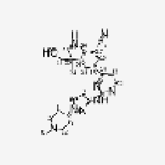 CN1CCC(n2ccc(Nc3nccc(-c4cc(C#N)c5c(c4)C(C)(CO)CN5)n3)n2)CC1